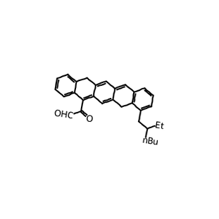 CCCCC(CC)Cc1cccc2c1Cc1cc3c(cc1=C2)Cc1ccccc1C=3C(=O)C=O